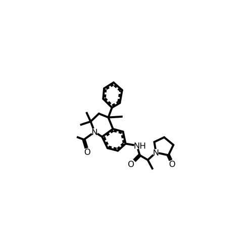 CC(=O)N1c2ccc(NC(=O)C(C)N3CCCC3=O)cc2C(C)(c2ccccc2)CC1(C)C